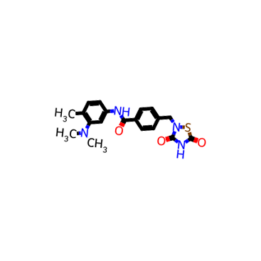 Cc1ccc(NC(=O)c2ccc(Cn3sc(=O)[nH]c3=O)cc2)cc1N(C)C